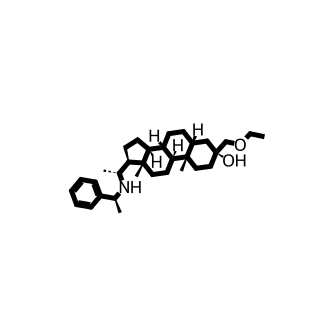 CCOC[C@@]1(O)CC[C@@]2(C)[C@H](CC[C@@H]3[C@@H]2CC[C@]2(C)[C@@H]([C@@H](C)N[C@@H](C)c4ccccc4)CC[C@@H]32)C1